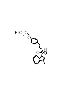 CCOC(=O)COc1ccc(CCNS(=O)(=O)c2cc(C)c3cccccc2-3)cc1